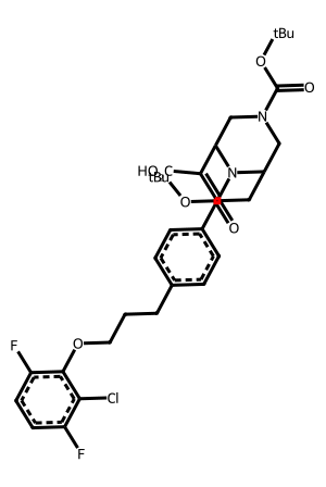 CC(C)(C)OC(=O)N1CC2CC(c3ccc(CCCOc4c(F)ccc(F)c4Cl)cc3)=C(C(=O)O)C(C1)N2C(=O)OC(C)(C)C